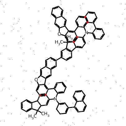 CC1(C)c2cc(-c3ccc4cc5oc6cccc(-c7ccccc7N(C7=CC8C(C=C7)c7ccccc7C8(C)C)C7=CC(c8cccc9ccccc89)=CCC7)c6c5cc4c3)ccc2-c2ccc(N(c3ccccc3-c3ccccc3)c3ccccc3-c3cccc4oc5cc6ccccc6cc5c34)cc21